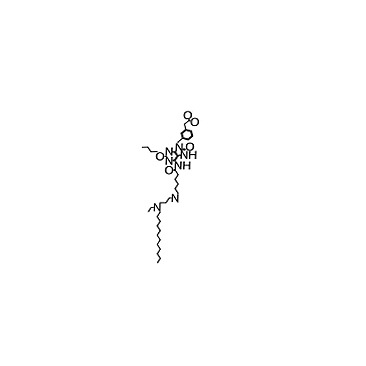 CCCCCCCCCCCCN(CC)CCCN(C)CCCCCC(=O)Nc1nc(OCCCC)nc2c1[nH]c(=O)n2Cc1cccc(CC(=O)OC)c1